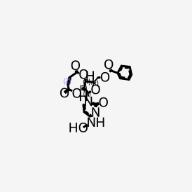 O=C1/C=C\C(=O)O[C@H]2[C@@H](O1)[C@H](n1ccc(NO)nc1=O)O[C@@H]2COC(=O)c1ccccc1